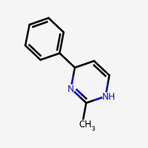 CC1=NC(c2ccccc2)C=CN1